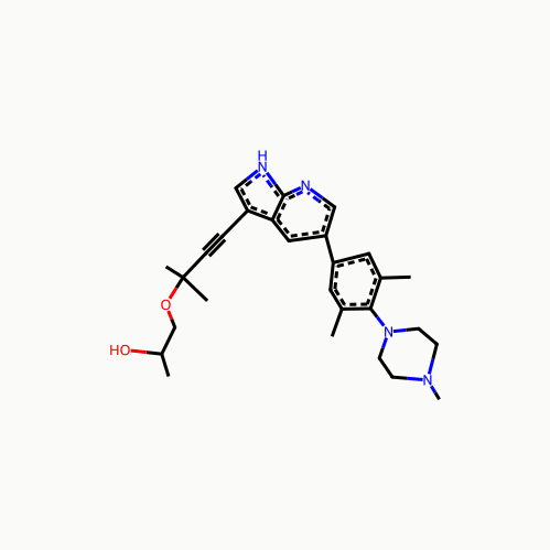 Cc1cc(-c2cnc3[nH]cc(C#CC(C)(C)OCC(C)O)c3c2)cc(C)c1N1CCN(C)CC1